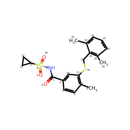 Cc1ccc(C(=O)NS(=O)(=O)C2CC2)cc1SCc1c(C)cccc1C